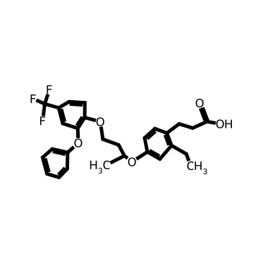 CCc1cc(OC(C)CCOc2ccc(C(F)(F)F)cc2Oc2ccccc2)ccc1CCC(=O)O